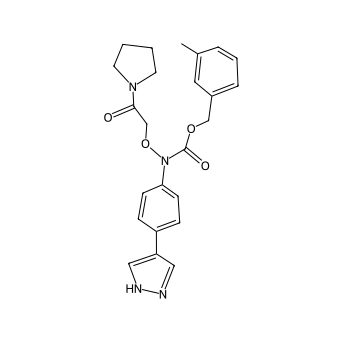 Cc1cccc(COC(=O)N(OCC(=O)N2CCCC2)c2ccc(-c3cn[nH]c3)cc2)c1